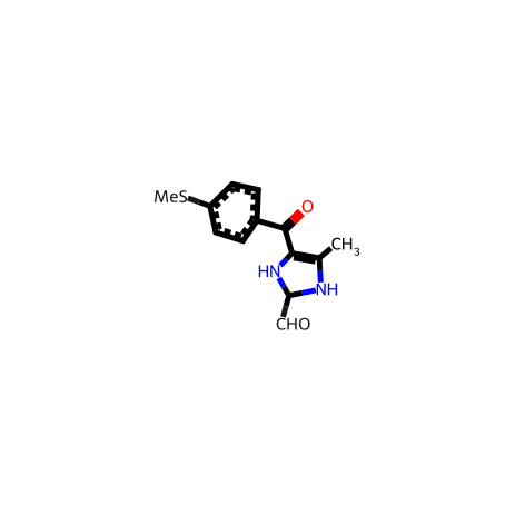 CSc1ccc(C(=O)C2=C(C)NC(C=O)N2)cc1